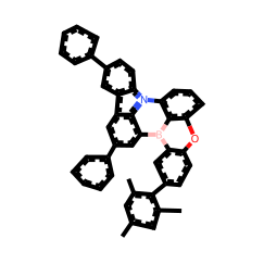 Cc1cc(C)c(-c2ccc3c(c2)B2c4c(cccc4-n4c5ccc(-c6ccccc6)cc5c5cc(-c6ccccc6)cc2c54)O3)c(C)c1